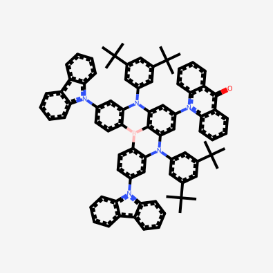 CC(C)(C)c1cc(N2c3cc(-n4c5ccccc5c5ccccc54)ccc3B3c4ccc(-n5c6ccccc6c6ccccc65)cc4N(c4cc(C(C)(C)C)cc(C(C)(C)C)c4)c4cc(-n5c6ccccc6c(=O)c6ccccc65)cc2c43)cc(C(C)(C)C)c1